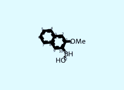 COc1cc2ccccc2cc1BO